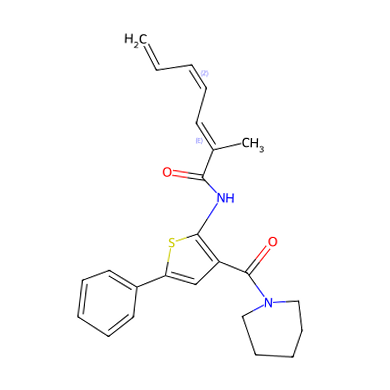 C=C/C=C\C=C(/C)C(=O)Nc1sc(-c2ccccc2)cc1C(=O)N1CCCCC1